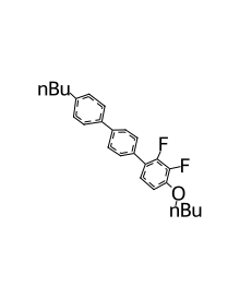 CCCCOc1ccc(-c2ccc(-c3ccc(CCCC)cc3)cc2)c(F)c1F